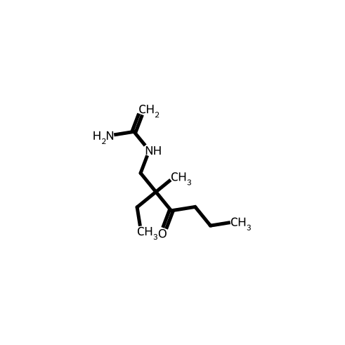 C=C(N)NCC(C)(CC)C(=O)CCC